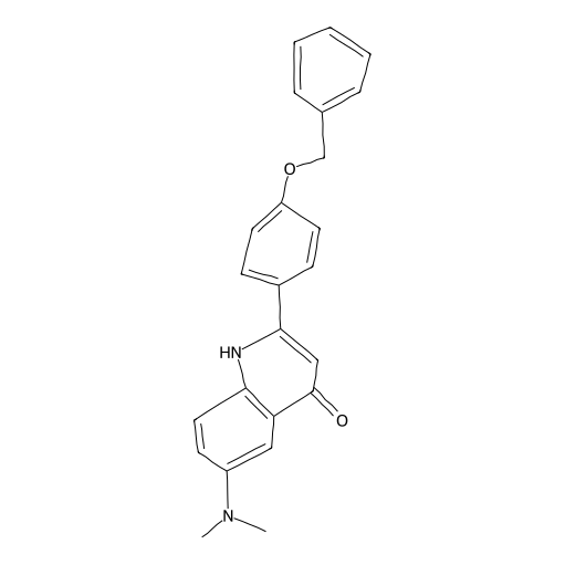 CN(C)c1ccc2[nH]c(-c3ccc(OCc4ccccc4)cc3)cc(=O)c2c1